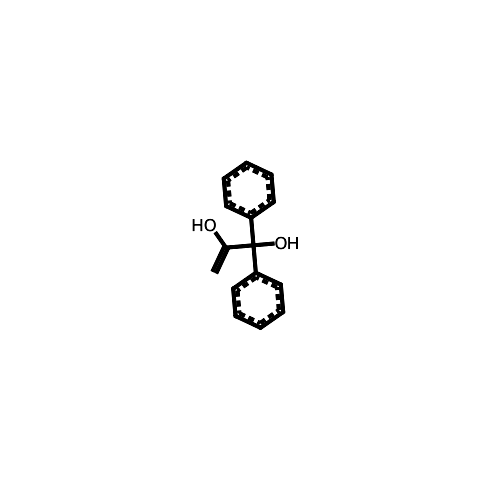 C=C(O)C(O)(c1ccccc1)c1ccccc1